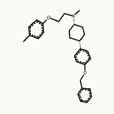 Cc1ccc(OCCN(C)[C@H]2CC[C@@H](c3ccc(OCc4ccccc4)cc3)CC2)cc1